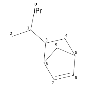 CC(C)C(C)C1CC2C=CC1C2